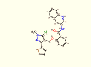 Cn1nc(-c2cccs2)c(COc2ccccc2C(=O)Nc2cnc3ccccc3c2)c1Cl